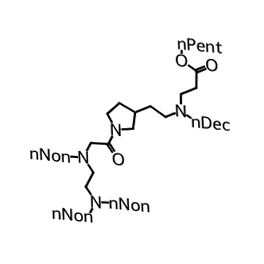 CCCCCCCCCCN(CCC(=O)OCCCCC)CCC1CCN(C(=O)CN(CCCCCCCCC)CCN(CCCCCCCCC)CCCCCCCCC)C1